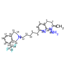 C=C1CCc2ccc(CCCCCN3CCc4cccc(C(F)(F)F)c4C3)nc2N1N